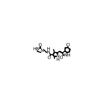 Cc1[nH]c(/C=C2\C(=O)Nc3ccc(Cl)cc32)c(C)c1C(=O)NCCN1CCNC1=O